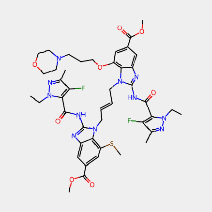 CCn1nc(C)c(F)c1C(=O)Nc1nc2cc(C(=O)OC)cc(OCCCN3CCOCC3)c2n1C/C=C/Cn1c(NC(=O)c2c(F)c(C)nn2CC)nc2cc(C(=O)OC)cc(SC)c21